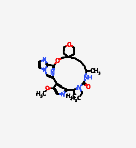 CCN1C(=O)NC(C)CCCC2(CCOCC2)COc2nc(cn3ccnc23)-c2cc(ncc2OC)C1C